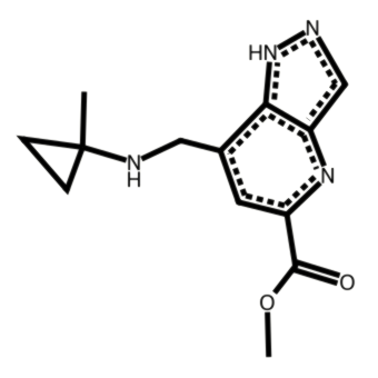 COC(=O)c1cc(CNC2(C)CC2)c2[nH]ncc2n1